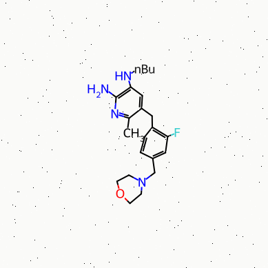 CCCCNc1cc(Cc2ccc(CN3CCOCC3)cc2F)c(C)nc1N